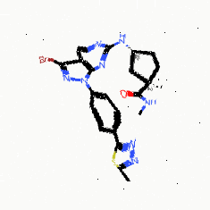 CNC(=O)[C@]1(C)CC[C@@H](Nc2ncc3c(Br)nn(-c4ccc(-c5nnc(C)s5)cc4)c3n2)C1